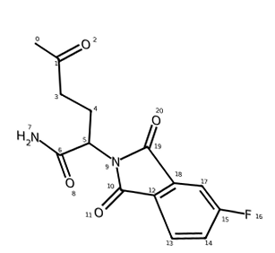 CC(=O)CCC(C(N)=O)N1C(=O)c2ccc(F)cc2C1=O